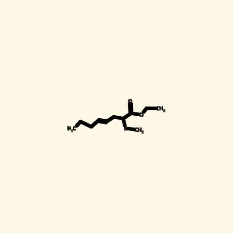 CCCC=CCC(SC)C(=O)OCC